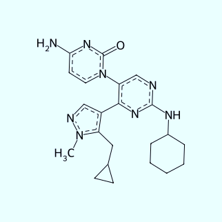 Cn1ncc(-c2nc(NC3CCCCC3)ncc2-n2ccc(N)nc2=O)c1CC1CC1